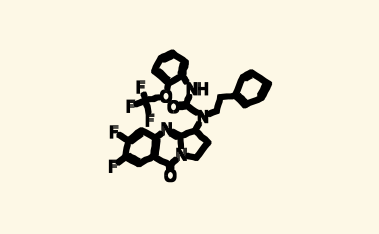 O=C(Nc1ccccc1OC(F)(F)F)N(CCc1ccccc1)C1CCn2c1nc1cc(F)c(F)cc1c2=O